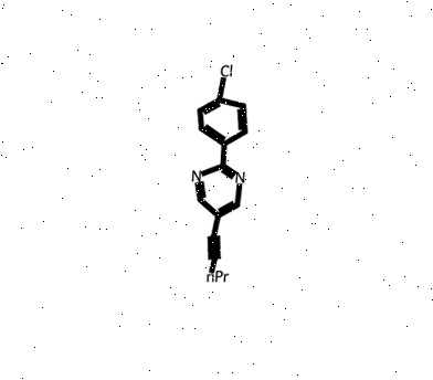 CCCC#Cc1cnc(-c2ccc(Cl)cc2)nc1